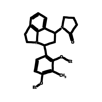 CCOc1ccc(C2CC(N3CCCC3=O)c3cccc4c3N2CC4)c(OCC)c1C